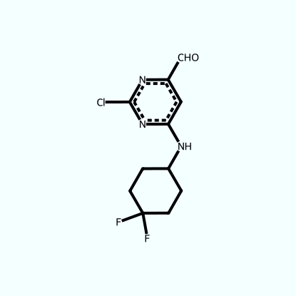 O=Cc1cc(NC2CCC(F)(F)CC2)nc(Cl)n1